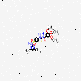 CCOc1cc(C(=O)NC(=S)Nc2ccc(S(=O)(=O)Nc3nc(C)cc(C)n3)cc2)cc(OCC)c1OCC